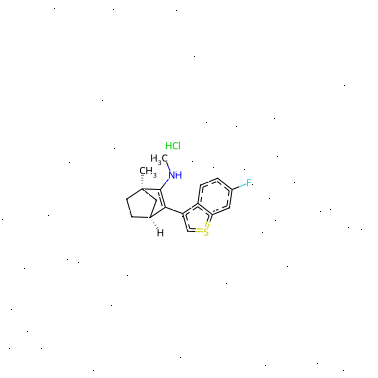 CNC1=C(c2csc3cc(F)ccc23)[C@H]2CC[C@]1(C)C2.Cl